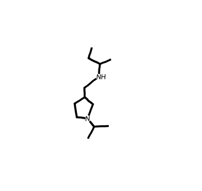 CCC(C)NCC1CCN(C(C)C)C1